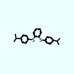 CC(C)c1ccc(Sc2ccccc2Sc2ccc(C(C)C)cc2)cc1